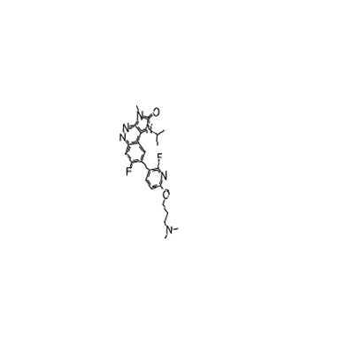 CC(C)n1c(=O)n(C)c2nnc3cc(F)c(-c4ccc(OCCCN(C)C)nc4F)cc3c21